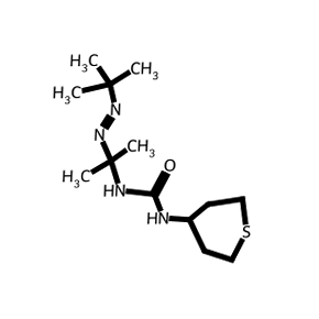 CC(C)(C)N=NC(C)(C)NC(=O)NC1CCSCC1